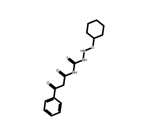 O=C(CC(=O)c1ccccc1)NC(=S)NNOC1CCCCC1